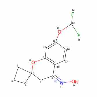 O/N=C1/CC2(CCC2)Oc2cc(OC(F)F)ccc21